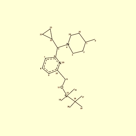 CC1CCN(C(c2cccc(CO[Si](C)(C)C(C)(C)C)n2)C2CC2)CC1